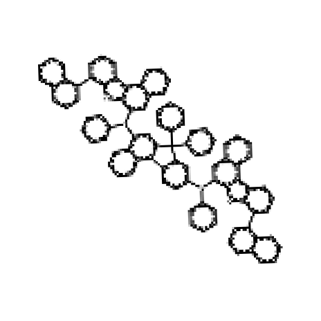 c1ccc(N(c2ccc3c(c2)C(c2ccccc2)(c2ccccc2)c2cc(N(c4ccccc4)c4cc5ccccc5c5c4oc4c(-c6cccc7ccccc67)cccc45)c4ccccc4c2-3)c2cc3ccccc3c3c2oc2c(-c4cccc5ccccc45)cccc23)cc1